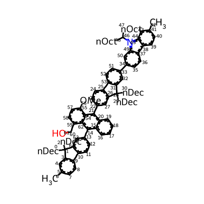 CCCCCCCCCCC1(CCCCCCCCCC)c2cc(C)ccc2-c2ccc(-c3c4ccccc4c(-c4ccc5c(c4)C(CCCCCCCCCC)(CCCCCCCCCC)c4cc(-c6ccc7c8ccc(C)cc8n(C(CCCCCCCC)CCCCCCCC)c7c6)ccc4-5)c4c(OC)ccc(CO)c34)cc21